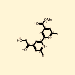 COC(=O)c1cc(C)nc(-c2cc(C(=O)CO)cc(C)n2)c1